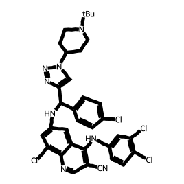 CC(C)(C)N1CCC(n2cc(C(Nc3cc(Cl)c4ncc(C#N)c(Nc5ccc(Cl)c(Cl)c5)c4c3)c3ccc(Cl)cc3)nn2)CC1